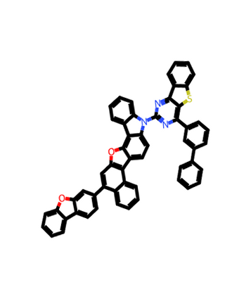 c1ccc(-c2cccc(-c3nc(-n4c5ccccc5c5c6oc7cc(-c8ccc9c(c8)oc8ccccc89)c8ccccc8c7c6ccc54)nc4c3sc3ccccc34)c2)cc1